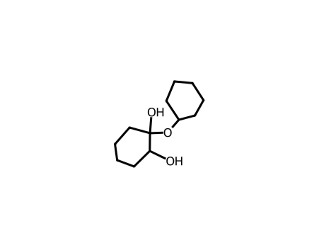 OC1CCCCC1(O)OC1CCCCC1